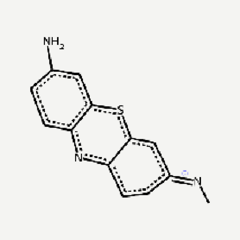 C/N=c1\ccc2nc3ccc(N)cc3sc-2c1